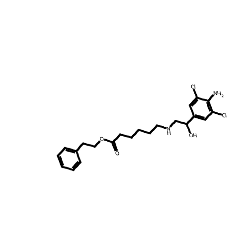 Nc1c(Cl)cc(C(O)CNCCCCCC(=O)OCCc2ccccc2)cc1Cl